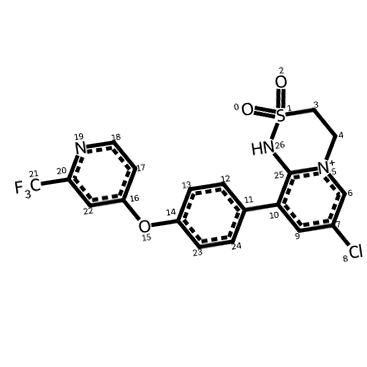 O=S1(=O)CC[n+]2cc(Cl)cc(-c3ccc(Oc4ccnc(C(F)(F)F)c4)cc3)c2N1